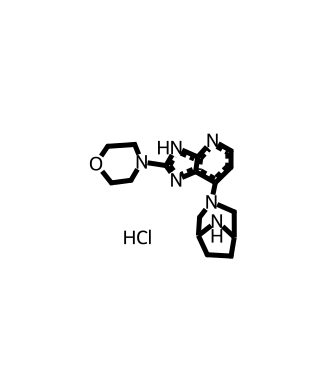 Cl.c1cc(N2CC3CCC(C2)N3)c2nc(N3CCOCC3)[nH]c2n1